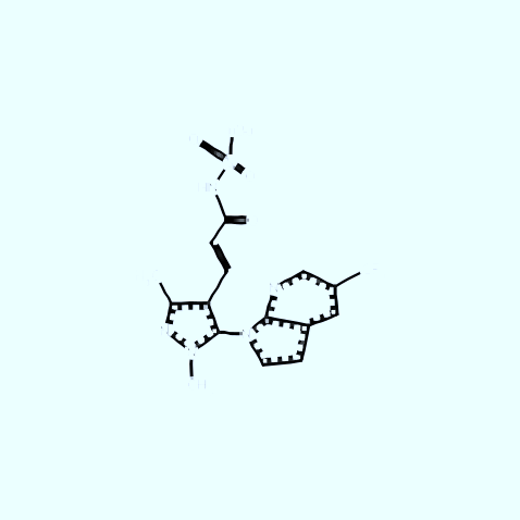 CCCCS(=O)(=O)NC(=O)C=Cc1c(C)nn(C)c1-n1ccc2cc(C(F)(F)F)cnc21